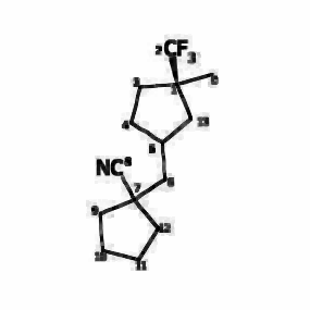 C[C@@]1(C(F)(F)F)CCC(CC2(C#N)CCCC2)C1